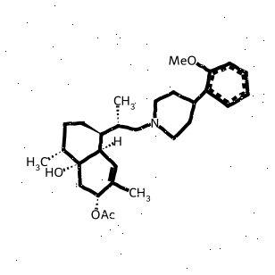 COc1ccccc1C1CCN(C[C@@H](C)[C@@H]2CC[C@@H](C)[C@]3(O)[C][C@@H](OC(C)=O)C(C)=C[C@H]23)CC1